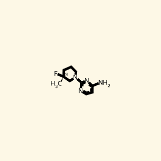 C[C@]1(F)CCCN(c2nccc(N)n2)C1